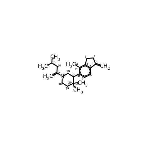 C=C1CCc2c1ccc(C1CN(C(=C)CC(C)C)CCC1(C)C)c2C